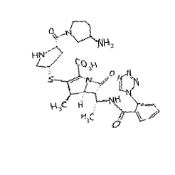 C[C@@H](NC(=O)c1ccccc1-n1cnnn1)[C@H]1C(=O)N2C(C(=O)O)=C(S[C@@H]3CN[C@H](C(=O)N4CCC(N)C4)C3)[C@H](C)[C@H]12